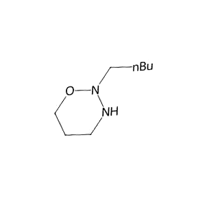 CCCCCN1NCCCO1